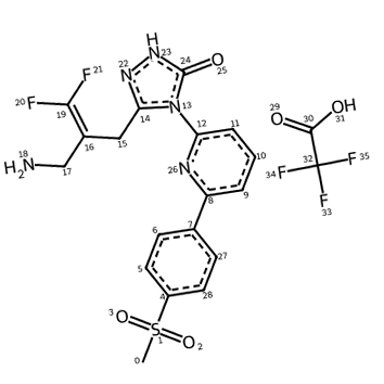 CS(=O)(=O)c1ccc(-c2cccc(-n3c(CC(CN)=C(F)F)n[nH]c3=O)n2)cc1.O=C(O)C(F)(F)F